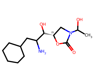 CC(O)N1C[C@@H](C(O)C(N)CC2CCCCC2)OC1=O